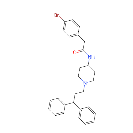 O=C(Cc1ccc(Br)cc1)NC1CCN(CCC(c2ccccc2)c2ccccc2)CC1